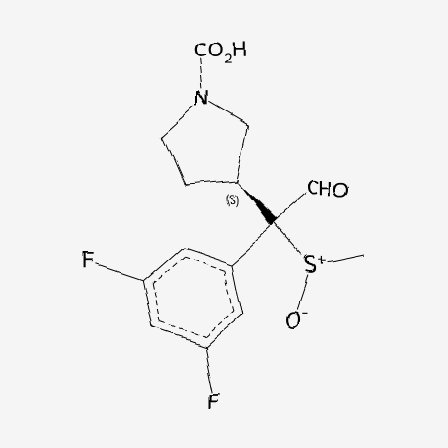 C[S+]([O-])C(C=O)(c1cc(F)cc(F)c1)[C@H]1CCN(C(=O)O)C1